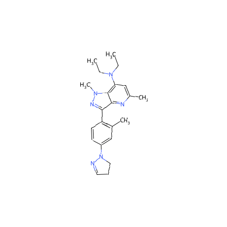 CCN(CC)c1cc(C)nc2c(-c3ccc(N4CCC=N4)cc3C)nn(C)c12